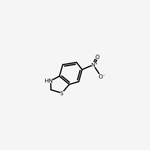 O=[N+]([O-])c1ccc2c(c1)SCN2